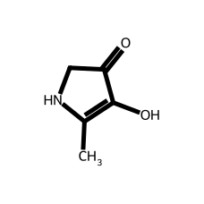 CC1=C(O)C(=O)CN1